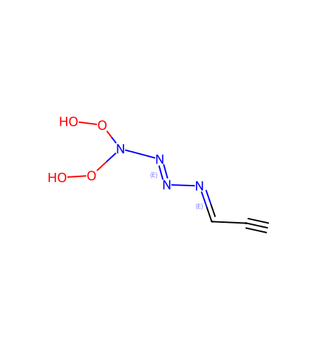 C#C/C=N/N=N/N(OO)OO